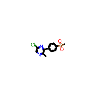 Cc1ncc(Cl)nc1-c1ccc(S(C)(=O)=O)cc1